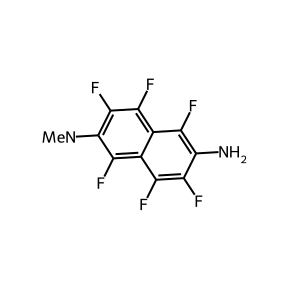 CNc1c(F)c(F)c2c(F)c(N)c(F)c(F)c2c1F